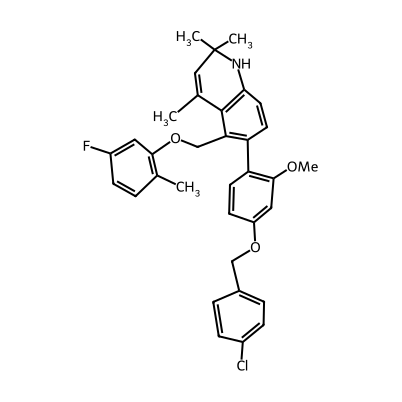 COc1cc(OCc2ccc(Cl)cc2)ccc1-c1ccc2c(c1COc1cc(F)ccc1C)C(C)=CC(C)(C)N2